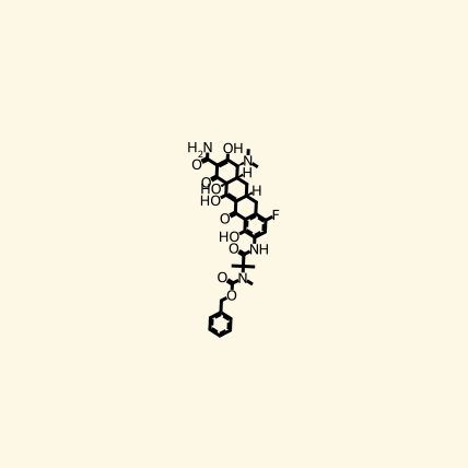 CN(C)[C@@H]1C(O)=C(C(N)=O)C(=O)[C@@]2(O)C(O)=C3C(=O)c4c(O)c(NC(=O)C(C)(C)N(C)C(=O)OCc5ccccc5)cc(F)c4C[C@H]3C[C@@H]12